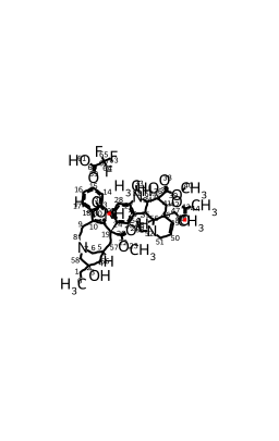 CC[C@]1(O)C[C@@H]2C[N@@](CCc3c([nH]c4ccccc34)[C@@](C(=O)OC)(c3cc4c(cc3OC)N(C)[C@H]3[C@@](O)(C(=O)OC)[C@H](OC(C)=O)[C@]5(CC)C=CCN6CC[C@]43[C@@H]65)C2)C1.O=C(O)C(F)(F)F